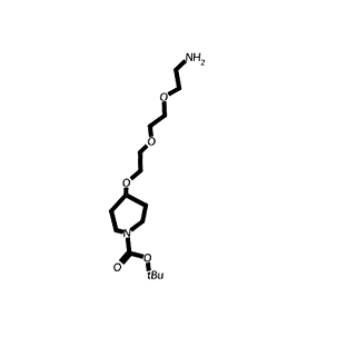 CC(C)(C)OC(=O)N1CCC(OCCOCCOCCN)CC1